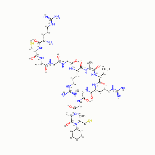 CC[C@H](C)[C@H](NC(=O)[C@H](CCCNC(=N)N)NC(=O)[C@H](CC(=O)O)NC(=O)[C@@H](NC(=O)[C@H](CCCNC(=N)N)NC(=O)CNC(=O)CNC(=O)[C@H](C)NC(=O)[C@H](CS)NC(=O)[C@@H](N)CCCNC(=N)N)[C@@H](C)CC)C(=O)NCC(=O)N[C@@H](C)C(=O)N(C1CCCCC1)[C@H]([C]=O)CS